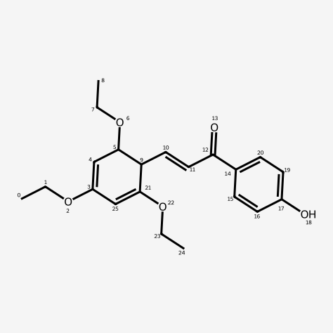 CCOC1=CC(OCC)C(C=CC(=O)c2ccc(O)cc2)C(OCC)=C1